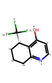 Oc1ccnc2c1[C@@H](C(F)(F)F)CCC2